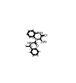 CCCC1C(=O)Nc2ccccc2N1C(=O)NC(C)c1ccccc1